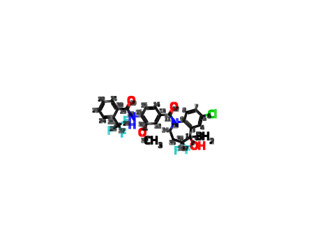 BC1(O)c2cc(Cl)ccc2N(C(=O)c2ccc(NC(=O)c3ccccc3C(F)(F)F)c(OC)c2)CCC1(F)F